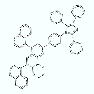 c1ccc(-c2nc(-c3ccccc3)n(-c3ccc(-c4cc(-c5cccc6ccccc56)c5cc(-c6cccc7ccccc67)c6ccccc6c5n4)cc3)c2-c2ccccc2)cc1